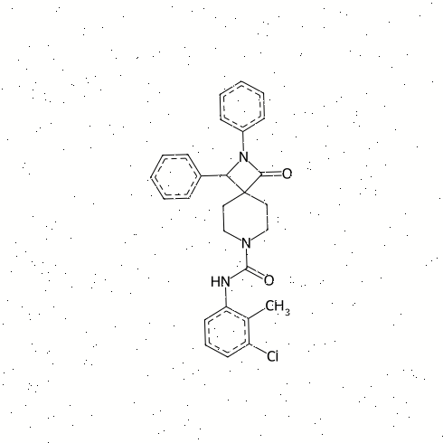 Cc1c(Cl)cccc1NC(=O)N1CCC2(CC1)C(=O)N(c1ccccc1)C2c1ccccc1